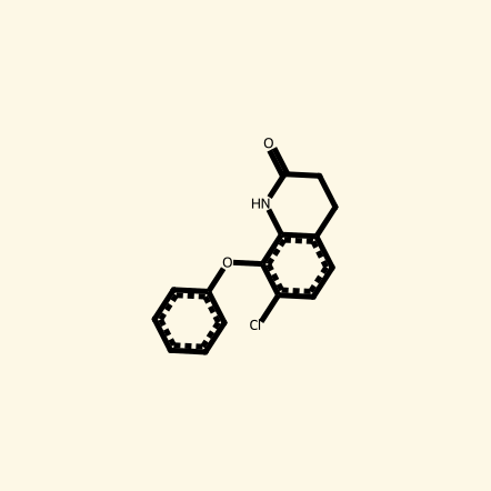 O=C1CCc2ccc(Cl)c(Oc3ccccc3)c2N1